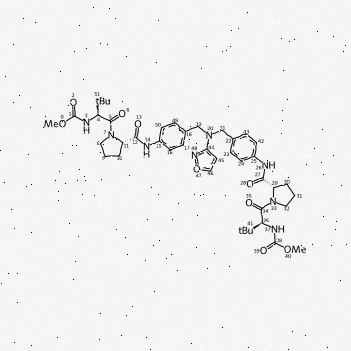 COC(=O)N[C@H](C(=O)N1CCC[C@H]1C(=O)Nc1ccc(CN(Cc2ccc(NC(=O)[C@@H]3CCCN3C(=O)[C@@H](NC(=O)OC)C(C)(C)C)cc2)c2ccon2)cc1)C(C)(C)C